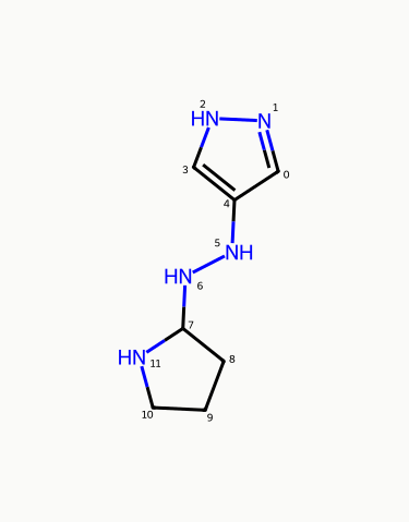 c1n[nH]cc1NNC1CCCN1